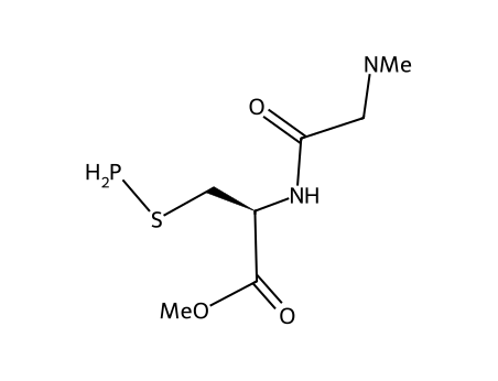 CNCC(=O)N[C@H](CSP)C(=O)OC